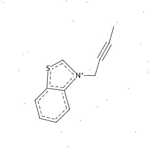 CC#CC[n+]1csc2ccccc21